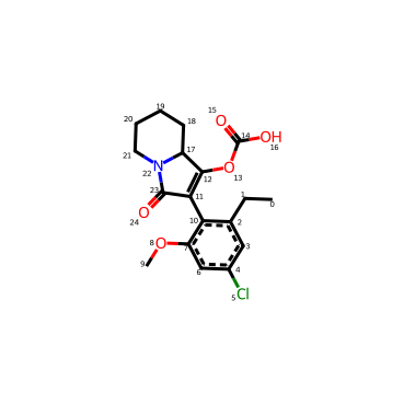 CCc1cc(Cl)cc(OC)c1C1=C(OC(=O)O)C2CCCCN2C1=O